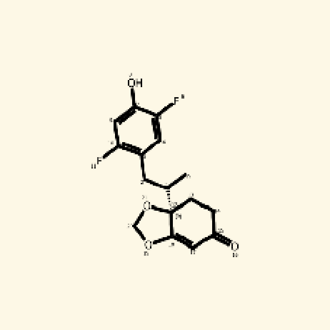 CC(Cc1cc(F)c(O)cc1F)[C@]12CCC(=O)C=C1OCO2